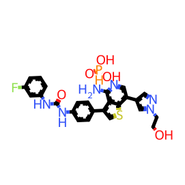 Nc1ncc(-c2cnn(CCO)c2)c2scc(-c3ccc(NC(=O)Nc4cccc(F)c4)cc3)c12.O=[PH](O)O